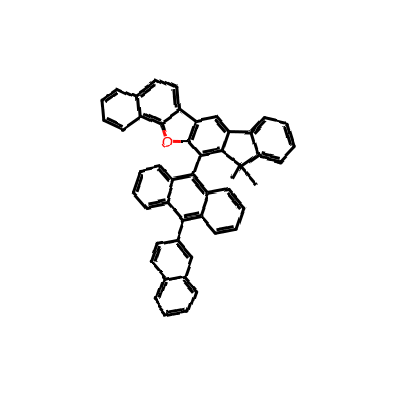 CC1(C)c2ccccc2-c2cc3c(oc4c5ccccc5ccc34)c(-c3c4ccccc4c(-c4ccc5ccccc5c4)c4ccccc34)c21